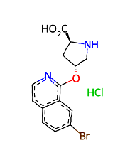 Cl.O=C(O)[C@@H]1C[C@@H](Oc2nccc3ccc(Br)cc23)CN1